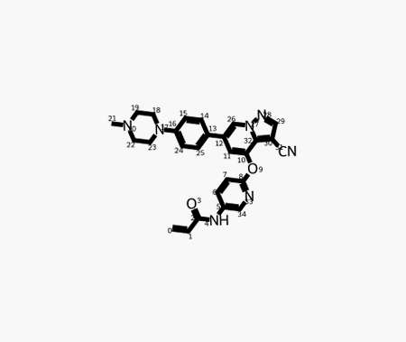 C=CC(=O)Nc1ccc(Oc2cc(-c3ccc(N4CCN(C)CC4)cc3)cn3ncc(C#N)c23)nc1